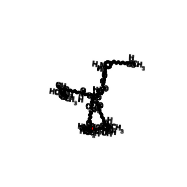 COPOCCCCCCCC1C2CC/C(N)=C(/NCCOCCOCCC(=O)N3CCC(C(=O)NC(COCCC(=O)NCCCCCCOC4OC(CO)C(O)C(O)C4NC(C)=O)(COCCC(=O)NCCCCCCOC4OC(CO)C(O)C(O)C4NC(C)=O)COCCC(=O)NCCCCCCOC4OC(CO)C(O)C(O)C4NC(C)=O)CC3)CCC12